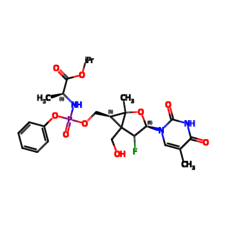 Cc1cn([C@@H]2OC3(C)[C@H](COP(=O)(N[C@@H](C)C(=O)OC(C)C)Oc4ccccc4)C3(CO)C2F)c(=O)[nH]c1=O